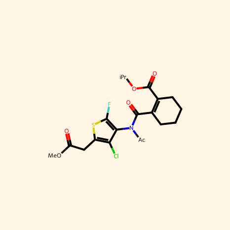 COC(=O)Cc1sc(F)c(N(C(C)=O)C(=O)C2=C(C(=O)OC(C)C)CCCC2)c1Cl